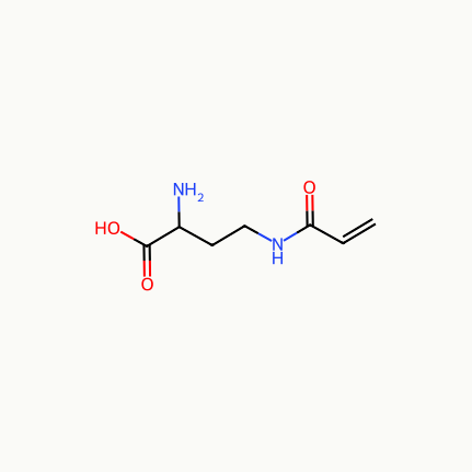 C=CC(=O)NCCC(N)C(=O)O